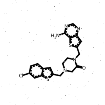 Nc1ncnc2cc(CN3CCN(Cc4cc5ccc(Cl)cc5s4)CC3=O)sc12